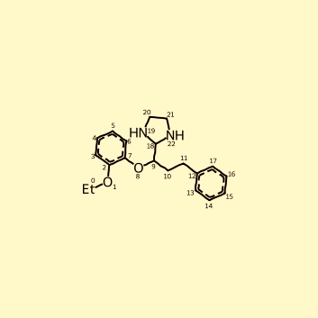 CCOc1ccccc1OC(CCc1ccccc1)C1NCCN1